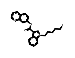 O=C(Oc1ccc2cccnc2c1)c1cn(CCCCCF)c2ccccc12